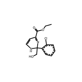 CCOC(=O)C1=NC(CO)(c2ccccc2Cl)NC=C1